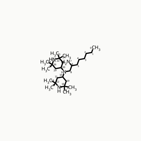 CCCCCCC(N)CN(C1CC(C)(C)NC(C)(C)C1)C1CC(C)(C)NC(C)(C)C1